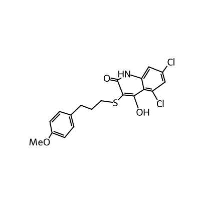 COc1ccc(CCCSc2c(O)c3c(Cl)cc(Cl)cc3[nH]c2=O)cc1